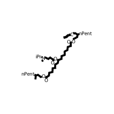 C=C=C=C=CC(CCCCC)CCOC(=O)CCCCCCCC(CCCCCCCC(=O)OCCC(C)CCCCC)OC(=O)CCCN(C)C(C)C